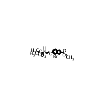 CCOC(=O)C1Cc2ccc(OCCNC(=O)OC(C)(C)C)c(Br)c2C1